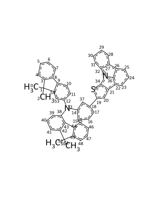 CC1(C)c2ccccc2-c2ccc(N(c3cccc(-c4cc5c6cccc7c8ccccc8n(c5s4)c76)c3)c3cccc4c3-c3ccccc3C4(C)C)cc21